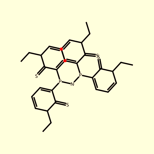 CCC1C=CC=C(P([N]P(C2=CC=CC(CC)C2=S)C2=CC=CC(CC)C2=S)C2=CC=CC(CC)C2=S)C1=S